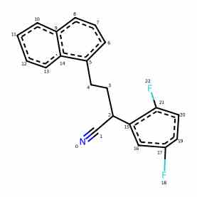 N#CC(CCc1cccc2ccccc12)c1cc(F)ccc1F